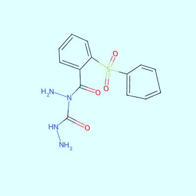 NNC(=O)N(N)C(=O)c1ccccc1S(=O)(=O)c1ccccc1